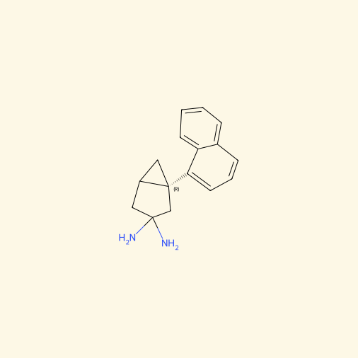 NC1(N)CC2C[C@@]2(c2cccc3ccccc23)C1